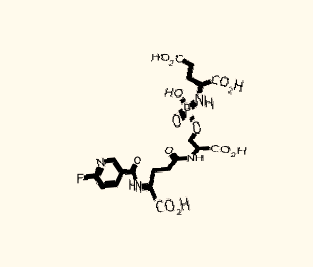 O=C(O)CCC(NP(=O)(O)OCC(NC(=O)CCC(NC(=O)c1ccc(F)nc1)C(=O)O)C(=O)O)C(=O)O